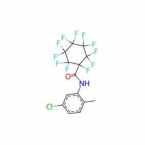 Cc1ccc(Cl)cc1NC(=O)C1(F)C(F)(F)C(F)(F)C(F)(F)C(F)(F)C1(F)F